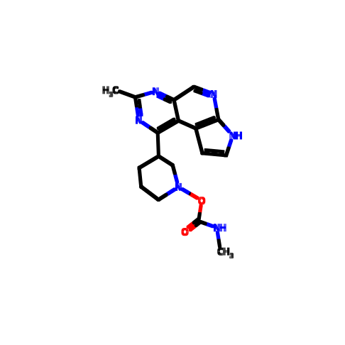 CNC(=O)ON1CCCC(c2nc(C)nc3cnc4[nH]ccc4c23)C1